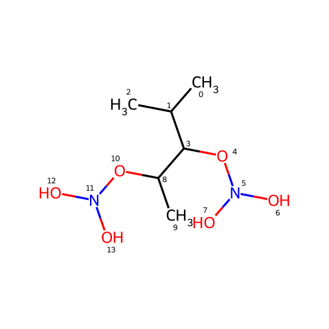 CC(C)C(ON(O)O)C(C)ON(O)O